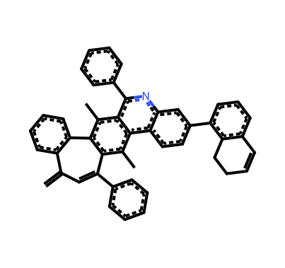 C=C1C=C(c2ccccc2)c2c(c(C)c3c(-c4ccccc4)nc4cc(-c5cccc6c5CCC=C6)ccc4c3c2C)-c2ccccc21